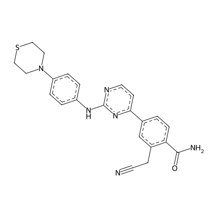 N#CCc1cc(-c2ccnc(Nc3ccc(N4CCSCC4)cc3)n2)ccc1C(N)=O